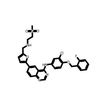 CS(=O)(=O)CCNCc1ccc(-c2ccc3ncnc(Nc4ccc(OCc5ccccc5F)c(Cl)c4)c3c2)o1